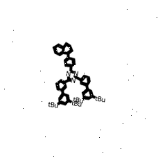 CC(C)(C)c1cc(-c2cccc(-c3nc(-c4ccc(-c5cccc6ccccc56)cc4)nc(-c4cccc(-c5cc(C(C)(C)C)cc(C(C)(C)C)c5)c4)n3)c2)cc(C(C)(C)C)c1